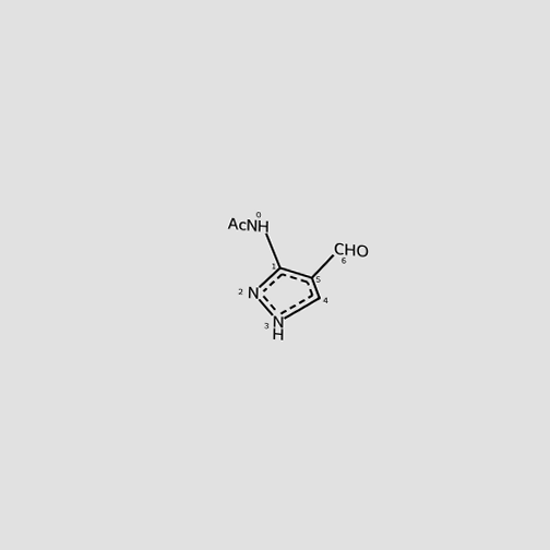 CC(=O)Nc1n[nH]cc1C=O